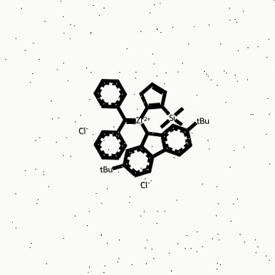 CC(C)(C)c1ccc2c(c1)[CH]([Zr+2]([C]1=C([Si](C)(C)C)C=CC1)=[C](c1ccccc1)c1ccccc1)c1cc(C(C)(C)C)ccc1-2.[Cl-].[Cl-]